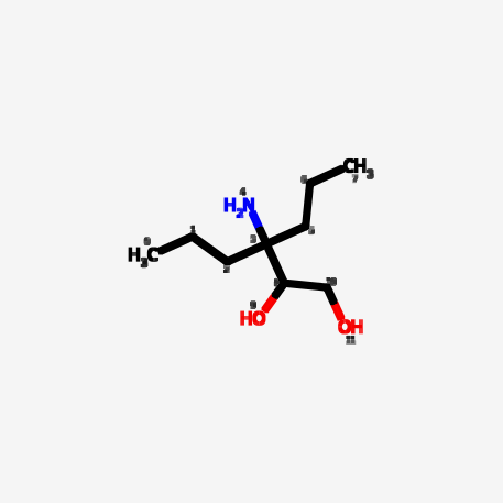 CCCC(N)(CCC)C(O)CO